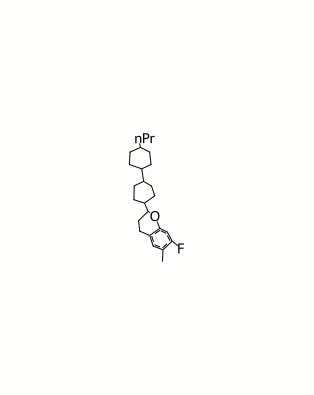 CCCC1CCC(C2CCC(C3CCc4cc(C)c(F)cc4O3)CC2)CC1